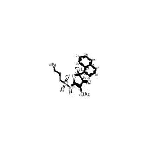 CC(=O)OC1=C(NS(=O)(=O)CCCBr)OC(C)(c2cccc3ccccc23)C1=O